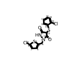 O=C1NN(Cc2ccc(Cl)s2)C(=O)C1Sc1ccccc1Cl